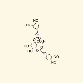 O=Nc1ccc(/C=C/C(=O)OC2(C(=O)O)CC(O)C(O)C(OC(=O)/C=C/c3ccc(N=O)c(N=O)c3)C2)cc1O